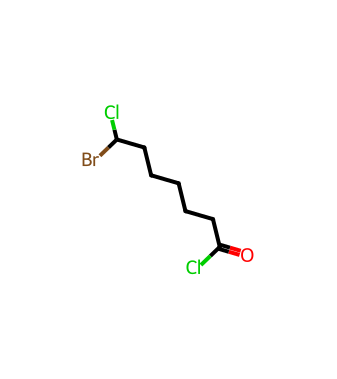 O=C(Cl)CCCCCC(Cl)Br